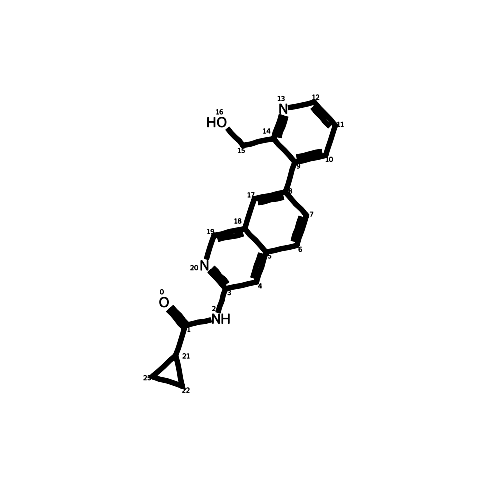 O=C(Nc1cc2ccc(-c3cccnc3CO)cc2cn1)C1CC1